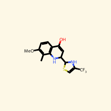 COc1ccc2c(c1C)NC(C1NC(C(F)(F)F)=CS1)C=C2O